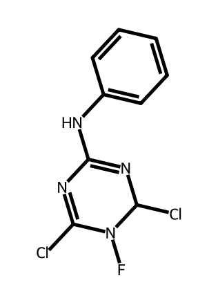 FN1C(Cl)=NC(Nc2ccccc2)=NC1Cl